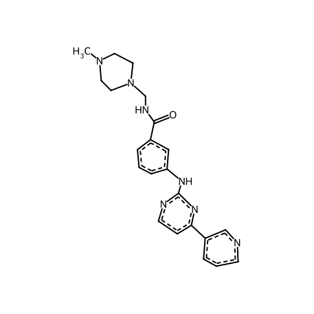 CN1CCN(CNC(=O)c2cccc(Nc3nccc(-c4cccnc4)n3)c2)CC1